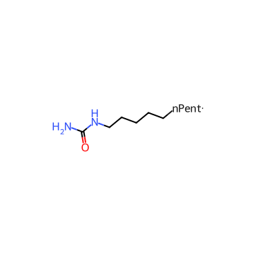 CCCC[CH]CCCCCNC(N)=O